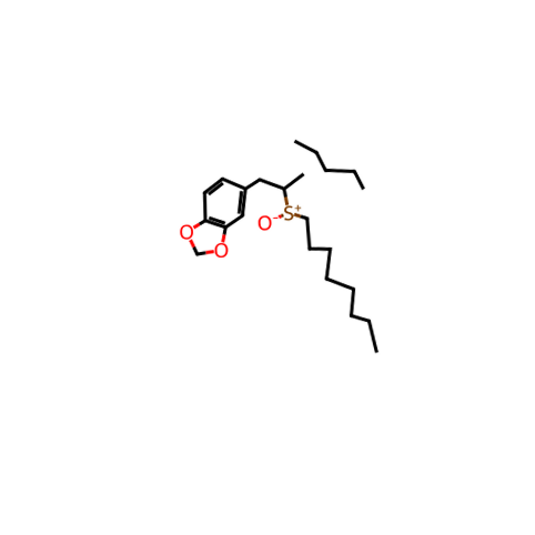 CCCCC.CCCCCCCC[S+]([O-])C(C)Cc1ccc2c(c1)OCO2